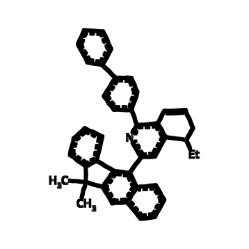 CCC1CC=Cc2c1cc(-c1c3c(cc4ccccc14)C(C)(C)c1ccccc1-3)nc2-c1ccc(-c2ccccc2)cc1